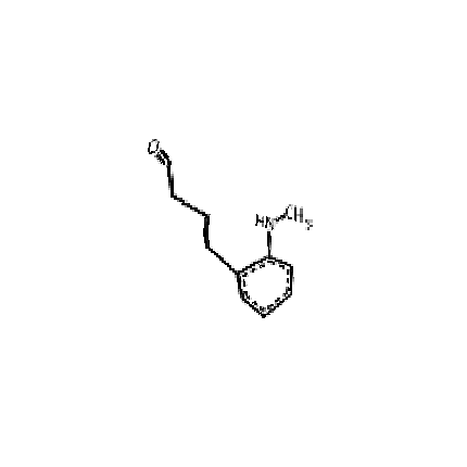 CNc1ccccc1CCCC=O